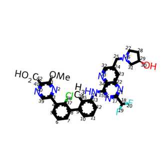 COc1nc(-c2cccc(-c3cccc(Nc4nc(C(F)F)nc5cc(CN6CC[C@@H](O)C6)cnc45)c3C)c2Cl)cnc1C(=O)O